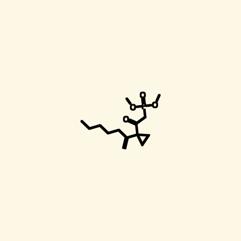 C=C(CCCCC)C1(C(=O)CP(=O)(OC)OC)CC1